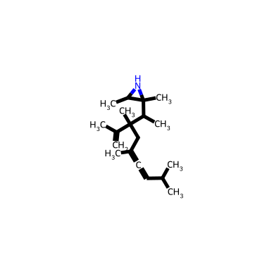 C=C(C)C(C)(CC(C)=C=CC(C)C)C(C)C1(C)NC1C